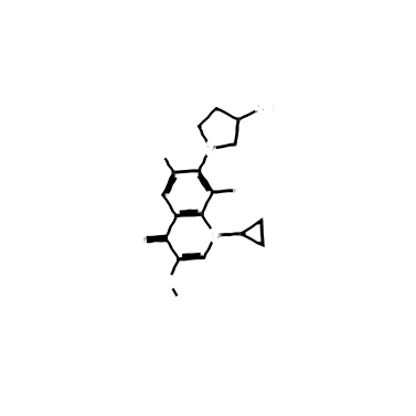 NC1CCN(c2c(F)cc3c(=O)c(OC(=O)O)cn(C4CC4)c3c2F)C1